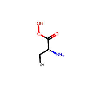 CC(C)C[C@H](N)C(=O)OO